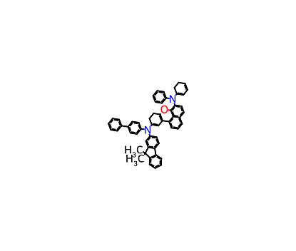 CC1(C)c2ccccc2-c2ccc(N(C3=CC4=C(CC3)Oc3c(N(C5=CC=CCC5)c5ccccc5)ccc5cccc4c35)c3ccc(-c4ccccc4)cc3)cc21